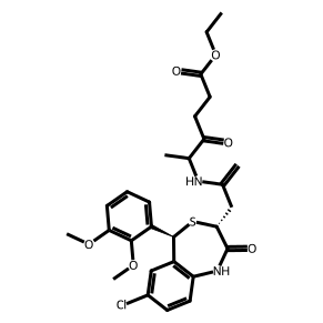 C=C(C[C@H]1S[C@H](c2cccc(OC)c2OC)c2cc(Cl)ccc2NC1=O)NC(C)C(=O)CCC(=O)OCC